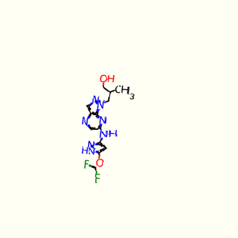 CC(CO)Cn1ncc2ncc(Nc3cc(OC(F)F)[nH]n3)nc21